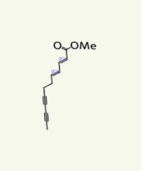 CC#CC#CCC/C=C/C=C/C(=O)OC